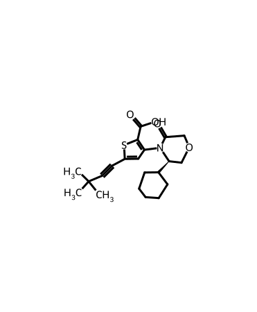 CC(C)(C)C#Cc1cc(N2C(=O)COC[C@H]2C2CCCCC2)c(C(=O)O)s1